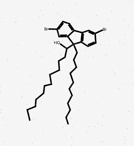 CCCCCCCCCCCC(O)C1(CCCCCCCCCCC)c2ccc(Br)cc2-c2ccc(Br)cc21